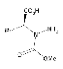 COC(=O)N(N)[C@H](C(=O)O)C(C)C